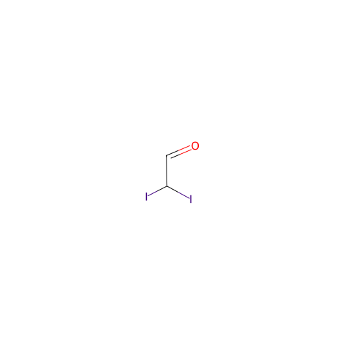 O=CC(I)I